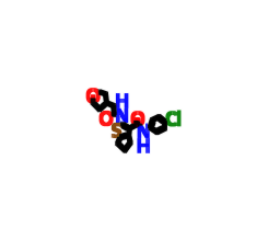 O=C(CC1CCOCC1)Nc1sc2c(c1C(=O)Nc1ccc(Cl)cc1)CCC2